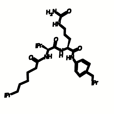 CC(C)CCCCCC(=O)N[C@H](C(=O)N[C@@H](CCCNC(N)=O)C(=O)Nc1ccc(CC(C)C)cc1)C(C)C